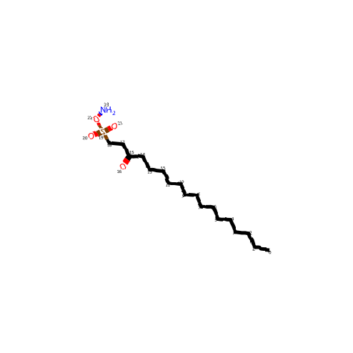 CCCCCCCCCCCCCCCC(=O)CCS(=O)(=O)ON